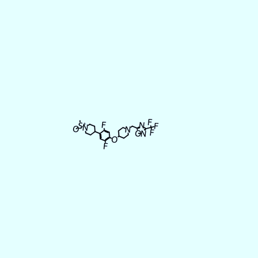 C[S+]([O-])N1CCC(c2cc(F)c(OC3CCN(Cc4nc(C(F)(F)F)no4)CC3)cc2F)CC1